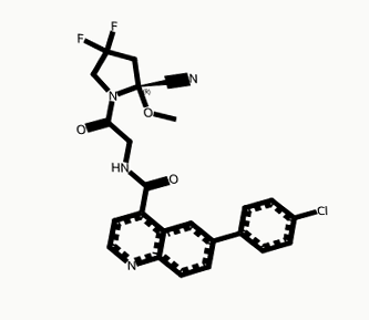 CO[C@@]1(C#N)CC(F)(F)CN1C(=O)CNC(=O)c1ccnc2ccc(-c3ccc(Cl)cc3)cc12